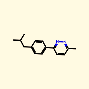 Cc1ccc(-c2ccc(CC(C)C)cc2)nn1